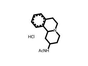 CC(=O)NC1CCN2CCc3ccccc3C2C1.Cl